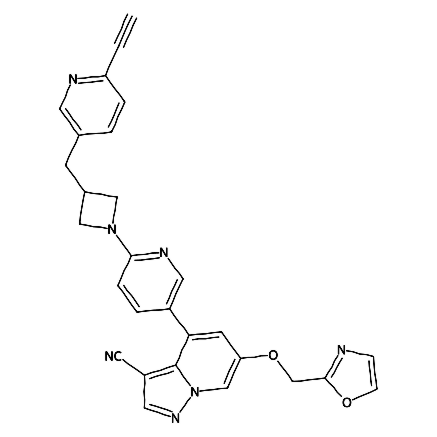 C#Cc1ccc(CC2CN(c3ccc(-c4cc(OCc5ncco5)cn5ncc(C#N)c45)cn3)C2)cn1